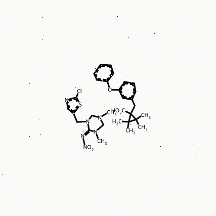 CC1(C)C(C)(C)C1(Cc1cccc(Oc2ccccc2)c1)C(=O)O.CN1CN(C)/C(=N\[N+](=O)[O-])N(Cc2cnc(Cl)s2)C1